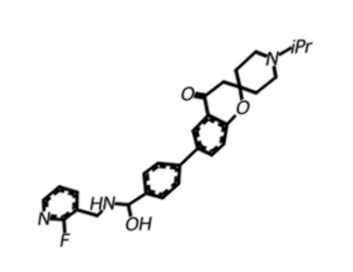 CC(C)N1CCC2(CC1)CC(=O)c1cc(-c3ccc(C(O)NCc4cccnc4F)cc3)ccc1O2